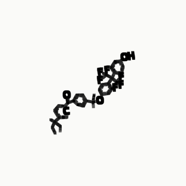 CCC(C)(CC)c1ccc(C(=O)c2ccc(C(C)(C)Oc3ccc(C(c4ccc(O)cc4)(C(F)(F)F)C(F)(F)F)cc3)cc2)cc1